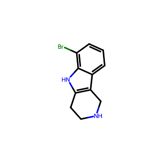 Brc1cccc2c3c([nH]c12)CCNC3